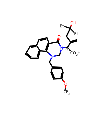 C=C(CC(O)(CC)CC)[C@@H](C(=O)O)N1CN(Cc2ccc(OC(F)(F)F)cc2)c2c(ccc3ccccc23)C1=O